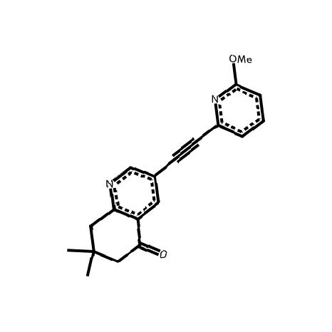 COc1cccc(C#Cc2cnc3c(c2)C(=O)CC(C)(C)C3)n1